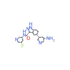 Nc1cncc(-c2ccc3[nH]nc(C(=O)Nc4cncc(F)c4)c3c2)c1